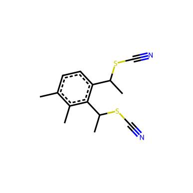 Cc1ccc(C(C)SC#N)c(C(C)SC#N)c1C